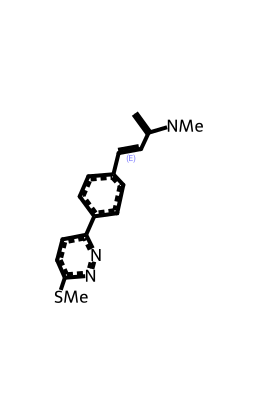 C=C(/C=C/c1ccc(-c2ccc(SC)nn2)cc1)NC